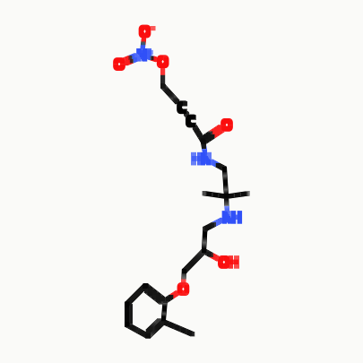 Cc1ccccc1OCC(O)CNC(C)(C)CNC(=O)CCCO[N+](=O)[O-]